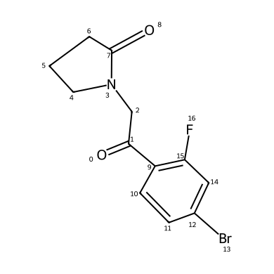 O=C(CN1CCCC1=O)c1ccc(Br)cc1F